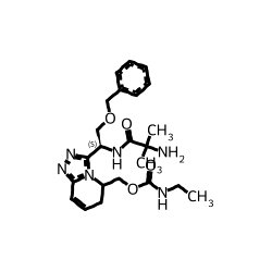 CCNC(=O)OCC1CC=Cc2nnc([C@@H](COCc3ccccc3)NC(=O)C(C)(C)N)n21